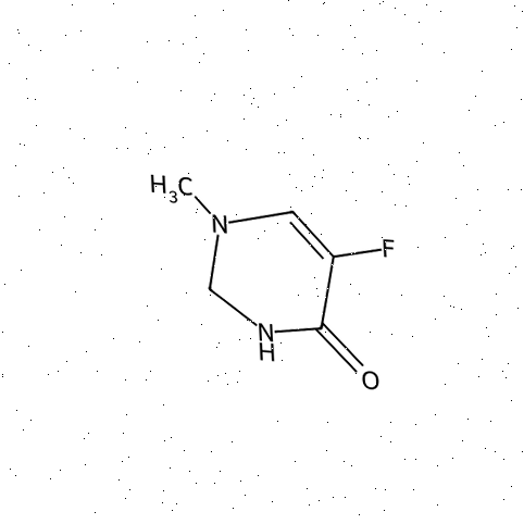 CN1C=C(F)C(=O)NC1